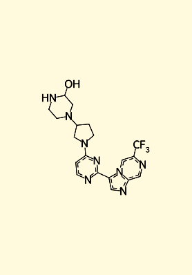 OC1CN(C2CCN(c3ccnc(-c4cnc5cnc(C(F)(F)F)cn45)n3)C2)CCN1